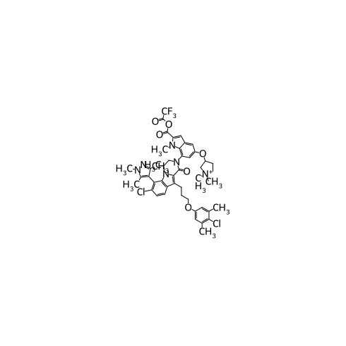 Cc1cc(OCCCc2c3n(c4c(-c5c(C)nn(C)c5C)c(Cl)ccc24)[C@H](C)CN(c2cc(OC4CC[N+](C)(C)C4)cc4cc(C(=O)OC(=O)C(F)(F)F)n(C)c24)C3=O)cc(C)c1Cl